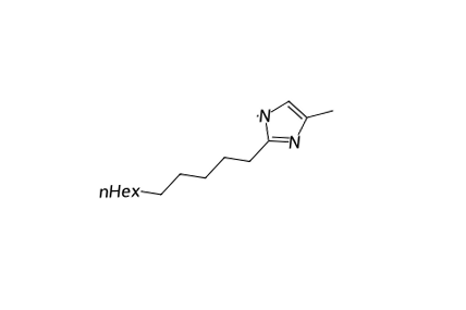 CCCCCCCCCCCC1=NC(C)=C[N]1